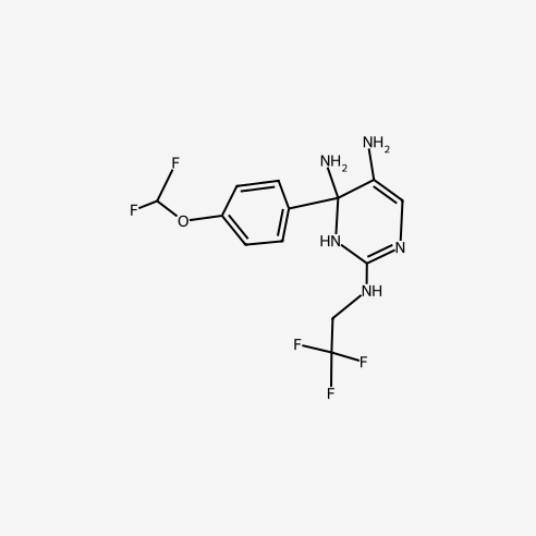 NC1=CN=C(NCC(F)(F)F)NC1(N)c1ccc(OC(F)F)cc1